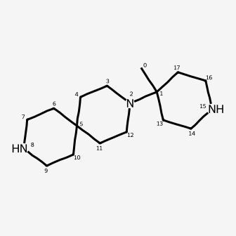 CC1(N2CCC3(CCNCC3)CC2)CCNCC1